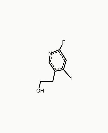 OCCc1cnc(F)cc1I